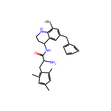 CCCCc1cc(Cc2ccccc2)cc2c1NCCC2NC(=O)C(N)Cc1c(C)cc(C)cc1C